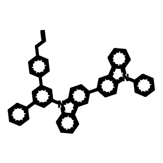 C=CCc1ccc(-c2cc(-c3ccccc3)cc(-n3c4ccccc4c4cc(-c5ccc6c(c5)c5ccccc5n6-c5ccccc5)ccc43)c2)cc1